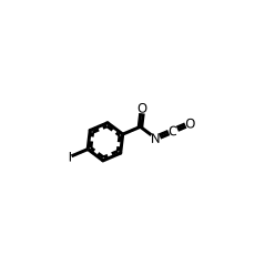 O=C=NC(=O)c1ccc(I)cc1